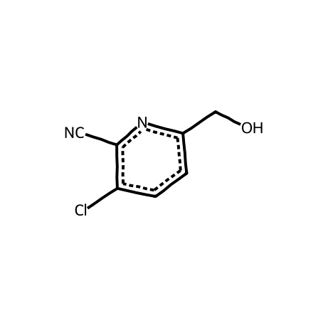 N#Cc1nc(CO)ccc1Cl